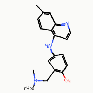 CCCCCCN(C)Cc1cc(Nc2ccnc3cc(C)ccc23)ccc1O